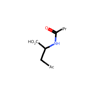 CC(=O)CC(NC(=O)C(C)C)C(=O)O